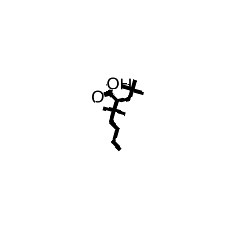 CCCCC(C)(C)C(CC(C)(C)C)C(=O)O